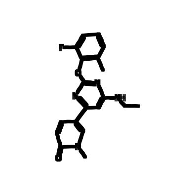 CCNc1cc(-c2ccc(=O)n(C)c2)nc(Oc2c(C)cccc2F)n1